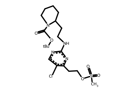 CC(C)(C)OC(=O)N1CCCCC1CCNc1ncc(Cl)c(CCOS(C)(=O)=O)n1